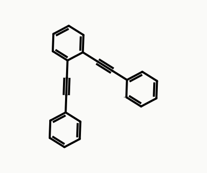 C(#Cc1ccccc1C#Cc1ccccc1)c1[c]cccc1